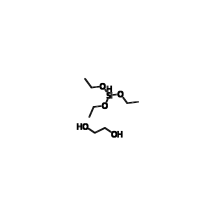 CCO[SiH](OCC)OCC.OCCO